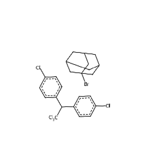 BrC12CC3CC(CC(C3)C1)C2.Clc1ccc(C(c2ccc(Cl)cc2)C(Cl)(Cl)Cl)cc1